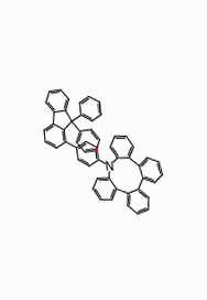 c1ccc(C2(c3ccccc3)c3ccccc3-c3cccc(-c4ccc(-n5c6ccccc6c6ccccc6c6ccccc6c6ccccc65)cc4)c32)cc1